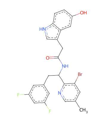 Cc1cnc(C(Cc2cc(F)cc(F)c2)NC(=O)Cc2c[nH]c3ccc(O)cc23)c(Br)c1